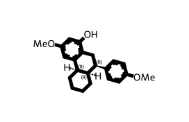 COc1ccc([C@@H]2Cc3c(O)cc(OC)cc3[C@@H]3CCCC[C@H]23)cc1